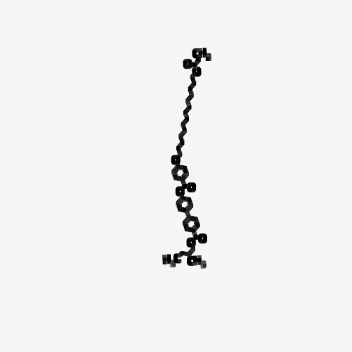 C=CC(=O)OCCCCCCCCCCCCCCOc1ccc(C(=O)Oc2ccc(-c3ccc(C(=O)OCC(C)CC)cc3)cc2)cc1